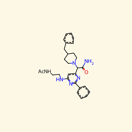 CC(=O)NCCNc1cc(C(C(N)=O)N2CCC(Cc3ccccc3)CC2)nc(-c2ccccc2)n1